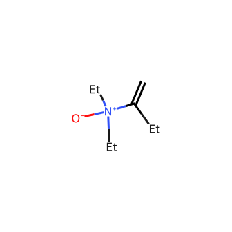 C=C(CC)[N+]([O-])(CC)CC